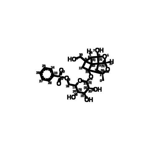 C[C@]12CC34[C@H](O[C@@]3(O)[C@@H]3C5(CO)C[C@]1(O[C@@H]1OC(COS(=O)(=O)c6ccccc6)[C@@H](O)[C@H](O)[C@@H]1O)C354)O2